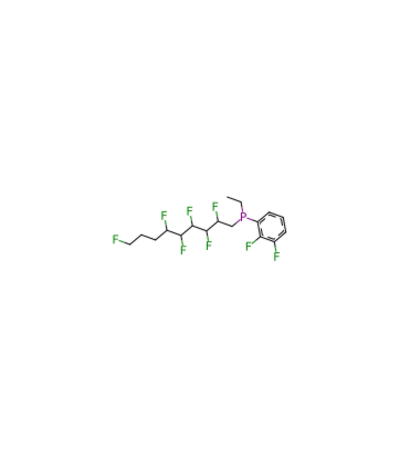 CCP(CC(F)C(F)C(F)C(F)C(F)CCCF)c1cccc(F)c1F